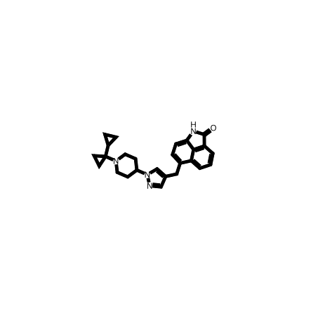 O=C1Nc2ccc(Cc3cnn(C4CCN(C5(C6CC6)CC5)CC4)c3)c3cccc1c23